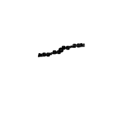 CC(=O)OCCOCCCCOCCOc1ccc(OCCOCCCCOCCOC(C)=O)cc1